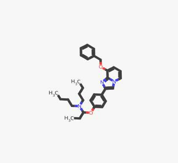 CCCCN(CCCC)C(CC)Oc1ccc(-c2cn3cccc(OCc4ccccc4)c3n2)cc1